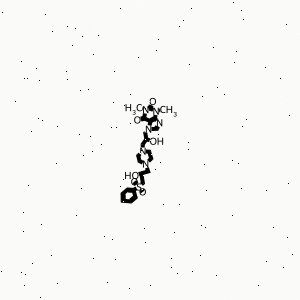 Cn1c(=O)c2c(ncn2CC(O)CN2CCN(CC(O)CS(=O)(=O)c3ccccc3)CC2)n(C)c1=O